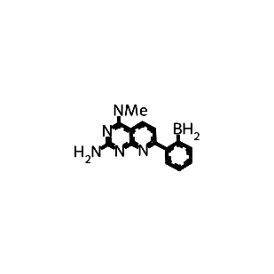 Bc1ccccc1-c1ccc2c(NC)nc(N)nc2n1